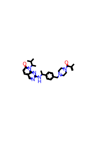 C=C(C)C(=O)N1CCN(Cc2ccc(C(C)Nc3ncc4ccc(=O)n(C(C)C(C)C)c4n3)cc2)CC1